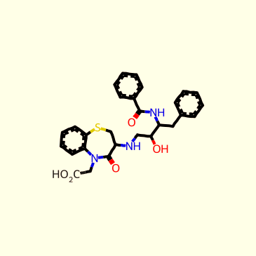 O=C(O)CN1C(=O)C(NCC(O)C(Cc2ccccc2)NC(=O)c2ccccc2)CSc2ccccc21